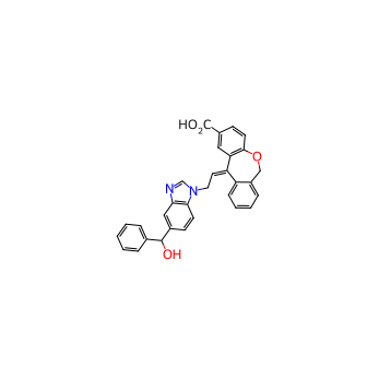 O=C(O)c1ccc2c(c1)/C(=C/Cn1cnc3cc(C(O)c4ccccc4)ccc31)c1ccccc1CO2